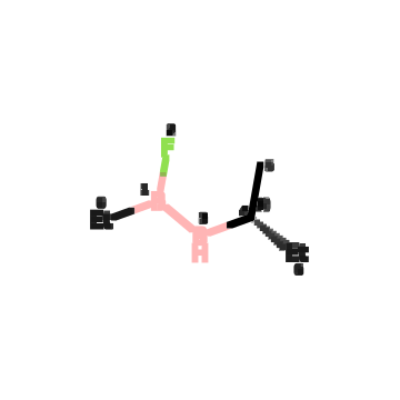 CCB(F)B[C@H](C)CC